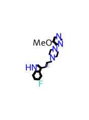 COc1cncnc1N1CCN(C/C=C/c2c[nH]c3ccc(F)cc23)CC1